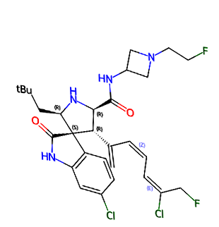 C=C(/C=C\C=C(\Cl)CF)[C@H]1[C@H](C(=O)NC2CN(CCF)C2)N[C@H](CC(C)(C)C)[C@]12C(=O)Nc1cc(Cl)ccc12